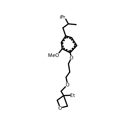 CCC1(COCCCOc2ccc(CC(C)C(C)C)cc2OC)COC1